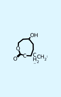 O=C1CCCC[C](O)CCO1.[CH2].[CH2]